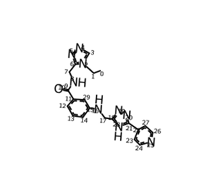 CCn1cnnc1CNC(=O)c1cccc(NCc2nnc(-c3ccncc3)[nH]2)c1